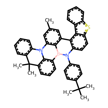 Cc1cc2c3c(c1)N1c4ccccc4C(C)(C)c4cccc(c41)B3N(c1ccc(C(C)(C)C)cc1)c1ccc3sc4ccccc4c3c1-2